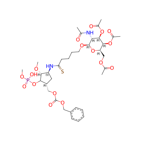 CO[C@H]1C(OP(=O)(O)OC)[C@@H](COC(=O)OCc2ccccc2)C[C@@H]1NC(=S)CCCCO[C@@H]1O[C@H](COC(C)=O)[C@H](OC(C)=O)[C@H](OC(C)=O)[C@H]1NC(C)=O